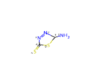 NC1N=NC(=S)S1